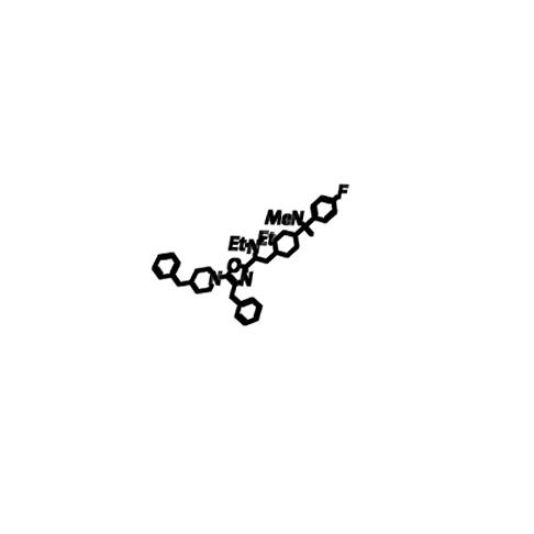 CCN(CC)C(CC1CCC(C(C)(NC)c2ccc(F)cc2)CC1)c1nc(Cc2ccccc2)c(N2CCC(Cc3ccccc3)CC2)o1